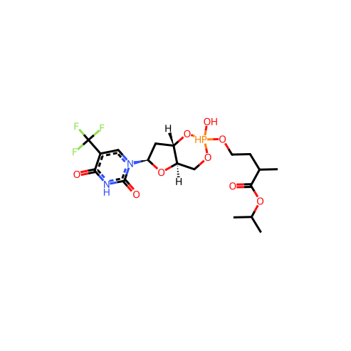 CC(C)OC(=O)C(C)CCO[PH]1(O)OC[C@H]2O[C@@H](n3cc(C(F)(F)F)c(=O)[nH]c3=O)C[C@@H]2O1